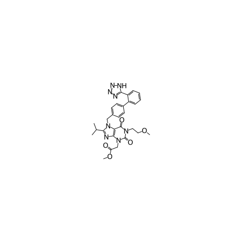 COCCn1c(=O)c2c(nc(C(C)C)n2Cc2ccc(-c3ccccc3-c3nnn[nH]3)cc2)n(CC(=O)OC)c1=O